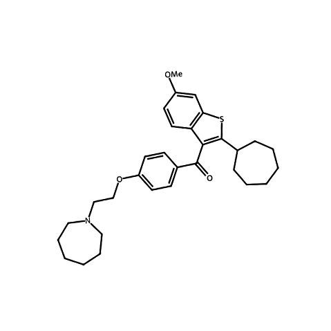 COc1ccc2c(C(=O)c3ccc(OCCN4CCCCCC4)cc3)c(C3CCCCCC3)sc2c1